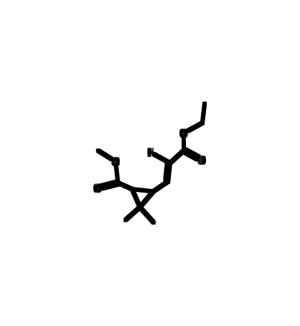 CCOC(=O)/C(F)=C/C1C(C(=O)OC)C1(C)C